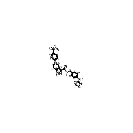 CN(C)C(=O)c1ccc(N2CCc3c(c(C(=O)NCc4ccc(NC5=NCCO5)cc4)nn3C)C2)nc1